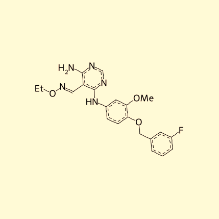 CCON=Cc1c(N)ncnc1Nc1ccc(OCc2cccc(F)c2)c(OC)c1